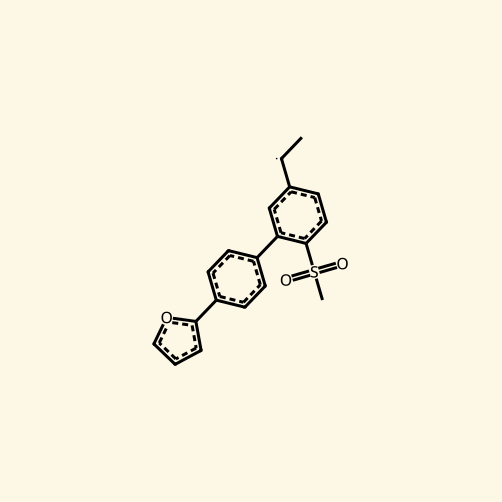 C[CH]c1ccc(S(C)(=O)=O)c(-c2ccc(-c3ccco3)cc2)c1